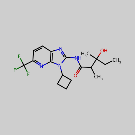 CCC(C)(O)C(C)C(=O)Nc1nc2ccc(C(F)(F)F)nc2n1C1CCC1